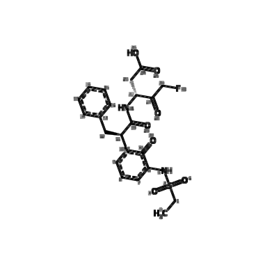 CCS(=O)(=O)Nc1cccn([C@@H](Cc2ccccc2)C(=O)N[C@H](CC(=O)O)C(=O)CF)c1=O